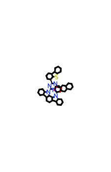 c1ccc(-n2c3ccccc3c3ccc4c5ccccc5n(-c5nc(-c6ccc7ccccc7c6)nc(-c6cccc7c6sc6ccccc67)n5)c4c32)cc1